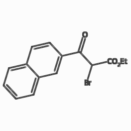 CCOC(=O)C(Br)C(=O)c1ccc2ccccc2c1